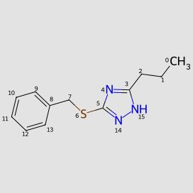 CCCc1nc(SCc2ccccc2)n[nH]1